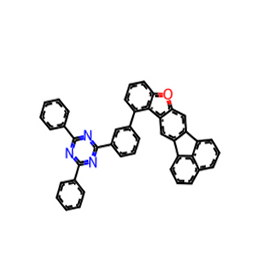 c1ccc(-c2nc(-c3ccccc3)nc(-c3cccc(-c4cccc5oc6cc7c(cc6c45)-c4cccc5cccc-7c45)c3)n2)cc1